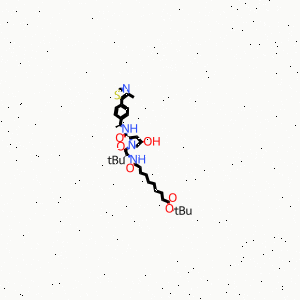 Cc1ncsc1-c1ccc([C@H](C)NC(=O)[C@@H]2C[C@@H](O)CN2C(=O)[C@H](NC(=O)CCCCCCCCC(=O)OC(C)(C)C)C(C)(C)C)cc1